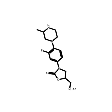 CC(=O)NCC1CN(c2ccc(N3CCNC(C)C3)c(F)c2)C(=O)O1